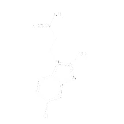 Cc1ccc2c(c1)nc(N)n2CCC(N)=O